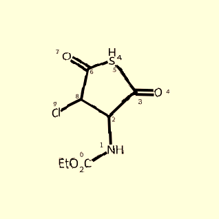 CCOC(=O)NC1C(=O)[SH4]C(=O)C1Cl